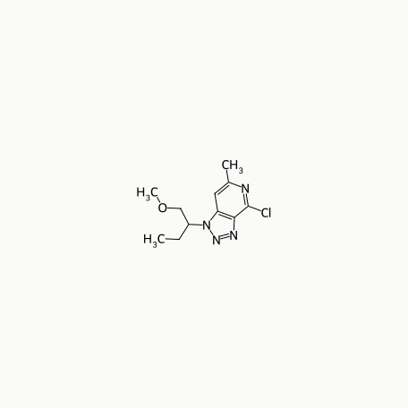 CCC(COC)n1nnc2c(Cl)nc(C)cc21